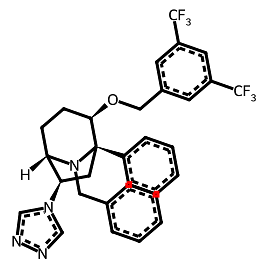 FC(F)(F)c1cc(CO[C@@H]2CC[C@H]3[C@H](n4cnnc4)C[C@]2(c2ccccc2)N3Cc2ccccc2)cc(C(F)(F)F)c1